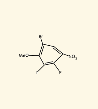 COc1c(Br)cc([N+](=O)[O-])c(F)c1I